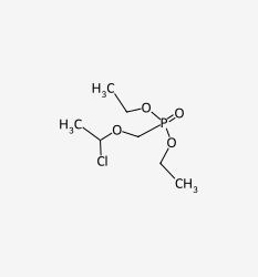 CCOP(=O)(COC(C)Cl)OCC